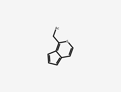 CC(=O)Cc1sccc2[c]ccc1-2